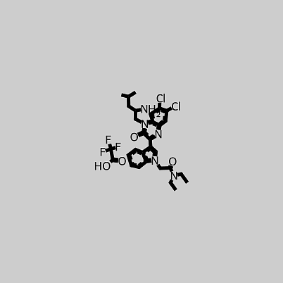 CCN(CC)C(=O)Cn1cc(-c2nc3cc(Cl)c(Cl)cc3n(CC(N)CC(C)C)c2=O)c2ccccc21.O=C(O)C(F)(F)F